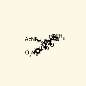 CC(=O)NCCSC1=C(C(=O)OCc2ccc([N+](=O)[O-])cc2)N2C(=O)C(C(O)CS(C)(=O)=O)C2C1